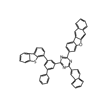 c1ccc(-c2cc(-c3nc(-c4ccc5ccccc5c4)nc(-c4ccc5c(c4)oc4cc6ccccc6cc45)n3)cc(-c3cccc4c3sc3ccccc34)c2)cc1